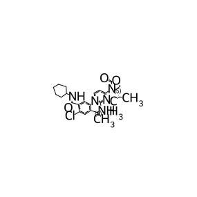 CC(C)[C@H]1COC(=O)N1c1ccnc(N[C@@H](C)c2ccc(C(=O)NC3CCCCC3)c(Cl)c2)n1